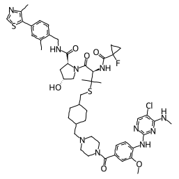 CNc1nc(Nc2ccc(C(=O)N3CCN(CC4CCC(CSC(C)(C)[C@H](NC(=O)C5(F)CC5)C(=O)N5C[C@H](O)C[C@H]5C(=O)NCc5ccc(-c6scnc6C)cc5C)CC4)CC3)cc2OC)ncc1Cl